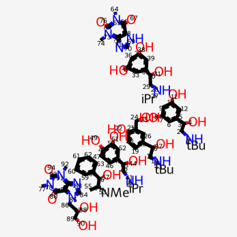 CC(C)(C)NCC(O)c1cc(O)cc(O)c1.CC(C)(C)NCC(O)c1ccc(O)c(CO)c1.CC(C)NCC(O)c1cc(O)cc(O)c1.CC(C)NCC(O)c1ccc(O)c(O)c1.CN[C@@H](C)[C@H](O)c1ccccc1.Cn1c(=O)c2[nH]cnc2n(C)c1=O.Cn1c(=O)c2c(ncn2CC(O)CO)n(C)c1=O